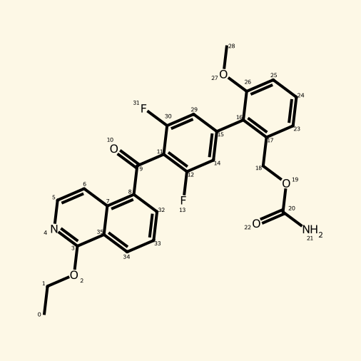 CCOc1nccc2c(C(=O)c3c(F)cc(-c4c(COC(N)=O)cccc4OC)cc3F)cccc12